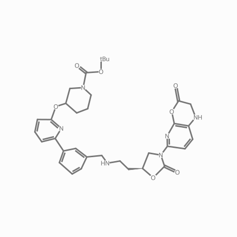 CC(C)(C)OC(=O)N1CCCC(Oc2cccc(-c3cccc(CNCC[C@H]4CN(c5ccc6c(n5)OC(=O)CN6)C(=O)O4)c3)n2)C1